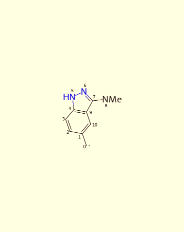 [CH2]c1ccc2[nH]nc(NC)c2c1